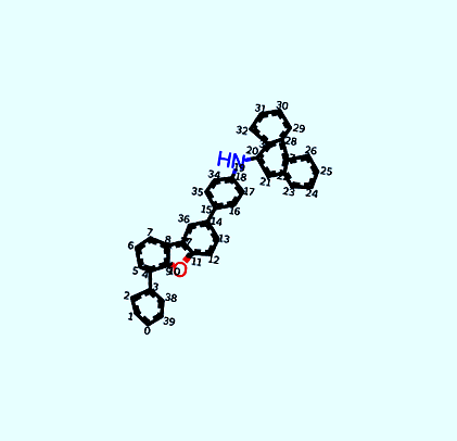 c1ccc(-c2cccc3c2oc2ccc(-c4ccc(Nc5cc6ccccc6c6ccccc56)cc4)cc23)cc1